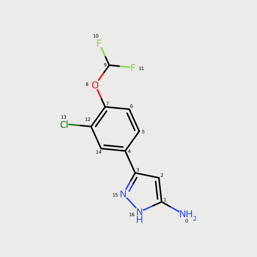 Nc1cc(-c2ccc(OC(F)F)c(Cl)c2)n[nH]1